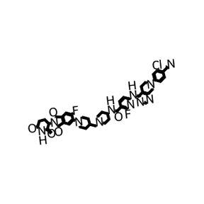 N#Cc1ccc(N2CCc3c(ncnc3Nc3ccc(C(=O)NC4CCN(CC5CCN(c6cc7c(cc6F)C(=O)N(C6CCC(=O)NC6=O)C7=O)CC5)CC4)c(F)n3)C2)cc1Cl